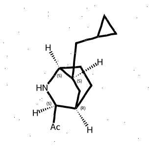 CC(=O)[C@H]1N[C@H]2CC[C@@H]1C[C@@H]2CC1CC1